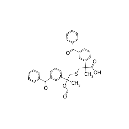 CC(CSCC(C)(C(=O)O)c1cccc(C(=O)c2ccccc2)c1)(OC=O)c1cccc(C(=O)c2ccccc2)c1